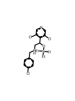 CC[Si](CC)(CC)OC(CNCc1ccc(Cl)cc1)c1c(Cl)cncc1Cl